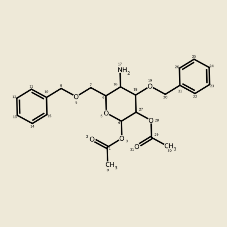 CC(=O)OC1OC(COCc2ccccc2)C(N)C(OCc2ccccc2)C1OC(C)=O